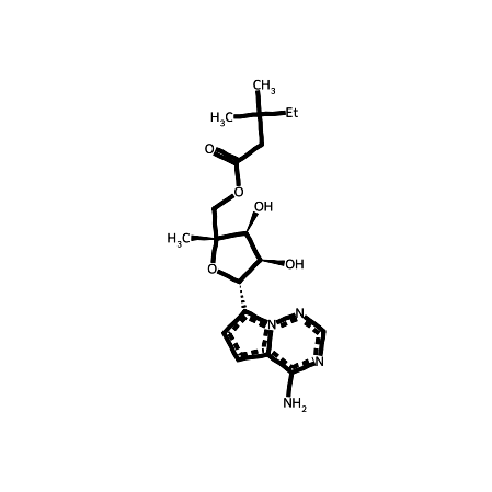 CCC(C)(C)CC(=O)OC[C@@]1(C)O[C@@H](c2ccc3c(N)ncnn23)[C@H](O)[C@@H]1O